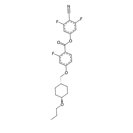 CCCO[C@H]1CC[C@H](COc2ccc(C(=O)Oc3cc(F)c(C#N)c(F)c3)c(F)c2)CC1